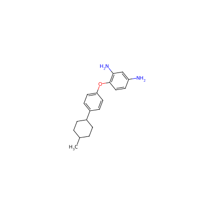 CC1CCC(c2ccc(Oc3ccc(N)cc3N)cc2)CC1